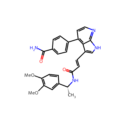 COc1ccc([C@@H](C)NC(=O)/C=C/c2c[nH]c3nccc(-c4ccc(C(N)=O)cc4)c23)cc1OC